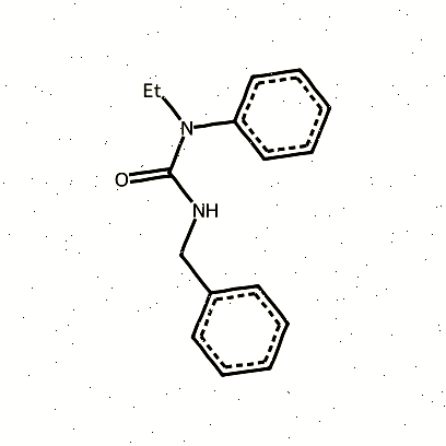 CCN(C(=O)NCc1ccccc1)c1ccccc1